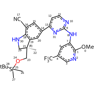 COc1ncc(C(F)(F)F)cc1Nc1nccc(-c2cc(C#N)c3c(c2)[C@@](C)(CO[Si](C)(C)C(C)(C)C)CN3)n1